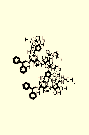 CCNC(=O)[C@@H]1O[C@H](n2cnc3c(NCC(c4ccccc4)c4ccccc4)nc(NC4CCC(O)C4O)nc32)[C@@H](O)[C@H]1O.CCNC(=O)[C@H]1O[C@@H](n2cnc3c(NCC(c4ccccc4)c4ccccc4)nc(NC4CC[C@@H]5OC(C)(C)O[C@H]45)nc32)[C@@H]2OC(C)(C)O[C@@H]21